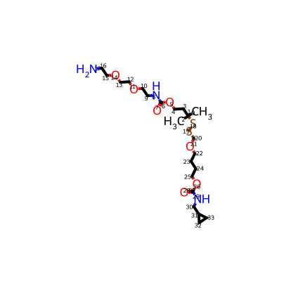 CC(C)(CCOC(=O)NCCOCCOCCN)SSCOCCCCOC(=O)NCC1CC1